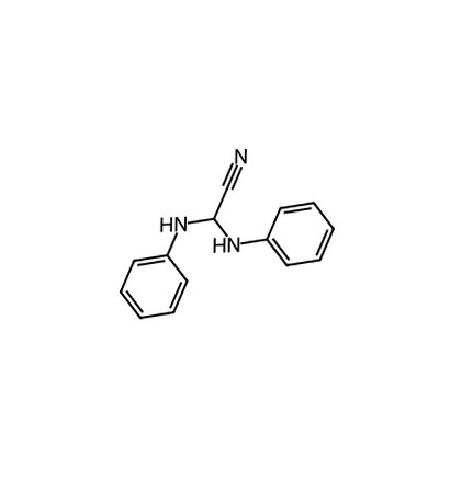 N#CC(Nc1ccccc1)Nc1ccccc1